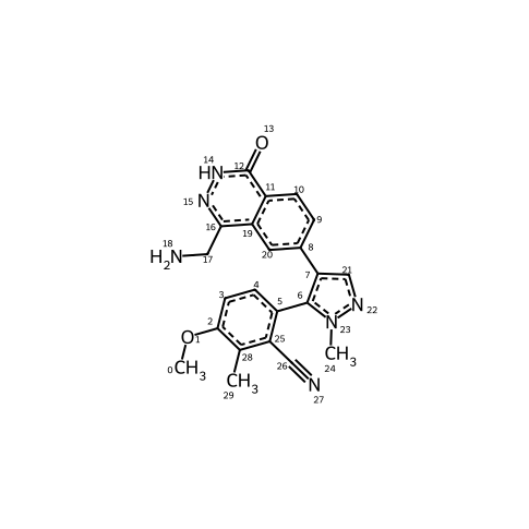 COc1ccc(-c2c(-c3ccc4c(=O)[nH]nc(CN)c4c3)cnn2C)c(C#N)c1C